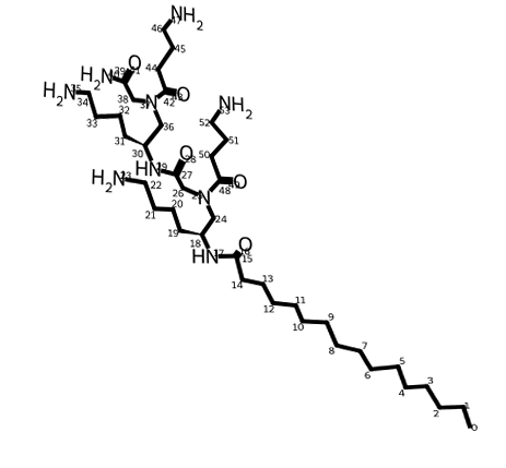 CCCCCCCCCCCCCCCC(=O)N[C@@H](CCCCN)CN(CC(=O)N[C@@H](CCCCN)CN(CC(N)=O)C(=O)CCCN)C(=O)CCCN